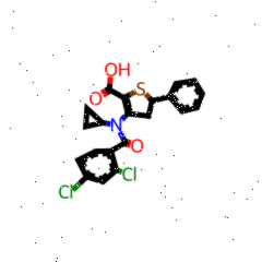 O=C(O)C1=C(N(C(=O)c2ccc(Cl)cc2Cl)C2CC2)CC(c2ccccc2)S1